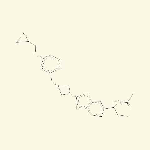 CCC(NC(C)=O)c1ccc2nc(N3CC(Oc4cccc(OCC5CC5)c4)C3)oc2c1